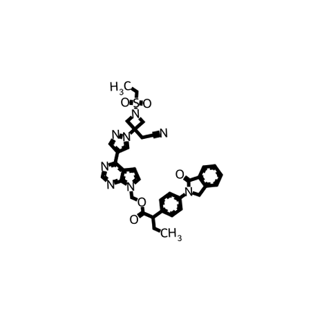 CCC(C(=O)OCn1ccc2c(-c3cnn(C4(CC#N)CN(S(=O)(=O)CC)C4)c3)ncnc21)c1ccc(N2Cc3ccccc3C2=O)cc1